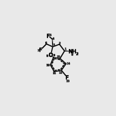 NC1CC(CF)(CF)Oc2ccc(F)cc21